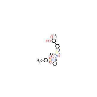 C=C1S/C(=C\c2ccc(-c3ccc(OC)c(O)c3)cc2)CON1[C@@H](Cc1ccccc1)C(=O)NS(=O)(=O)c1ccc(C)cc1